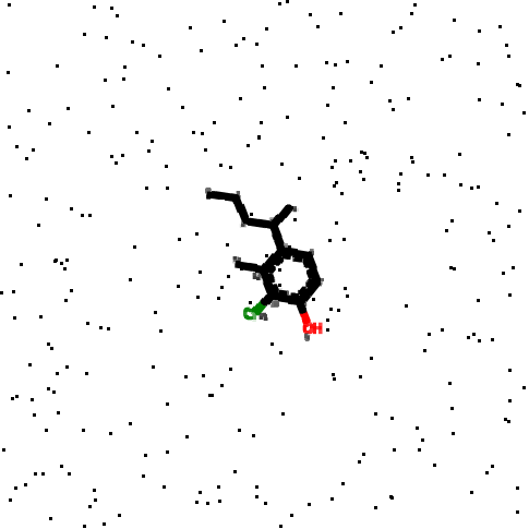 CCCC(C)c1ccc(O)c(Cl)c1C